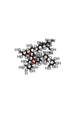 CC(=O)NC1C(O)[C@H](O[C@@H]2OC(CO)[C@H](O)[C@H](O)C2O)C(CO)O[C@H]1OC1[C@@H](OCC2O[C@@H](O[C@@H]3C(CO)O[C@@H](O[C@@H]4C(CO)O[C@@H](C(C)C)C(NC(C)=O)[C@H]4O)C(NC(C)=O)[C@H]3O)C(O)[C@@H](O[C@@H]3OC(CO)[C@H](O)C(O)[C@@H]3O[C@@H]3OC(CO)[C@@H](O[C@@H]4OC(CO)[C@H](O)[C@H](O)C4O)[C@H](O)C3NC(C)=O)[C@@H]2O)OC(CO)[C@@H](O)[C@@H]1O